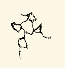 Cc1nnc2n1-c1ccccc1N(C1=CC=C(Cl)CC1)CC21CC1CO